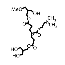 COCC(CO)COC(=O)CCN(CCC(=O)OCC(CO)CO)C(=O)SCCN(C)C